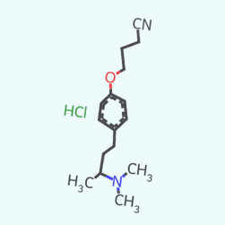 CC(CCc1ccc(OCCCC#N)cc1)N(C)C.Cl